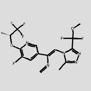 C=N/C(=C\n1c(C)nnc1C(F)(F)OC)c1cnc(O[C@H](C)C(F)(F)F)c(F)c1